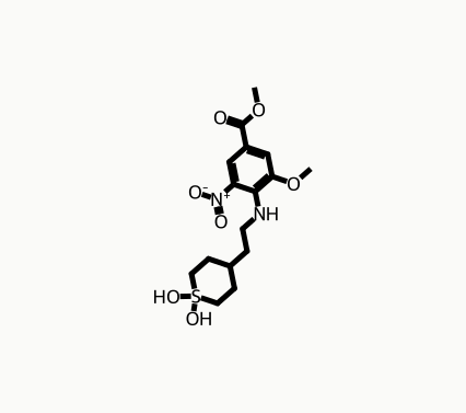 COC(=O)c1cc(OC)c(NCCC2CCS(O)(O)CC2)c([N+](=O)[O-])c1